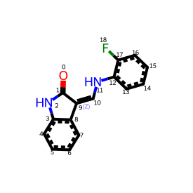 O=C1Nc2ccccc2/C1=C/Nc1ccccc1F